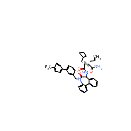 C=CC[C@H](C(N)=O)[C@@H](CC1CCC1)C(=O)NC1C(=O)N(Cc2cccc(-c3ccc(C(F)(F)F)cc3)c2)c2ccccc2-c2ccccc21